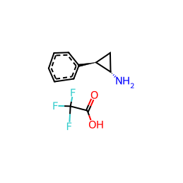 N[C@H]1C[C@@H]1c1ccccc1.O=C(O)C(F)(F)F